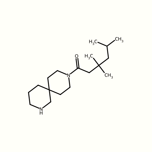 CC(C)CC(C)(C)CC(=O)N1CCC2(CCCNC2)CC1